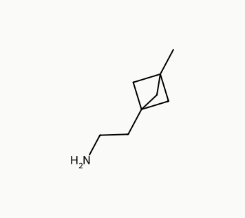 CC12CC(CCN)(C1)C2